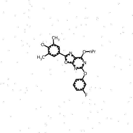 CCCOc1nc(Oc2cccc(F)c2)nc2oc(-c3cc(C)c([O])c(C)c3)nc12